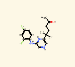 CCC(CC)(CCC(=O)OC)c1cncc(Nc2ccc(F)cc2F)n1